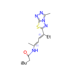 CC/C(=C\C=C(/C)NC(=O)CC(C)CC)c1nn2c(C)nnc2s1